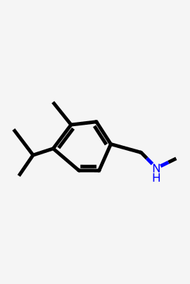 CNCc1ccc(C(C)C)c(C)c1